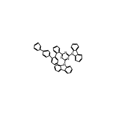 c1ccc(-c2ccc(-c3ccccc3-c3ccccc3-c3nc(-n4c5ccccc5c5ccccc54)nc(-n4c5ccccc5c5ccccc54)n3)cc2)cc1